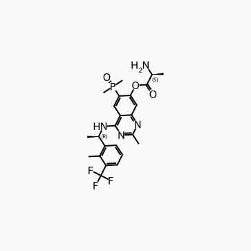 Cc1nc(N[C@H](C)c2cccc(C(F)(F)F)c2C)c2cc(P(C)(C)=O)c(OC(=O)[C@H](C)N)cc2n1